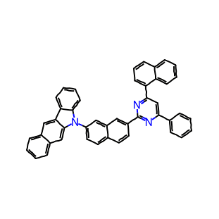 c1ccc(-c2cc(-c3cccc4ccccc34)nc(-c3ccc4ccc(-n5c6ccccc6c6cc7ccccc7cc65)cc4c3)n2)cc1